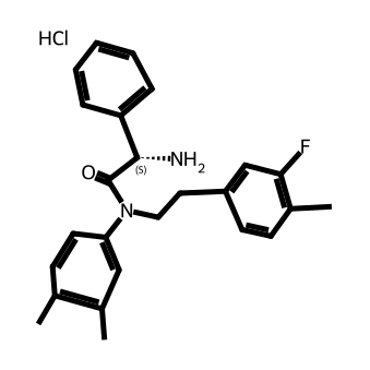 Cc1ccc(N(CCc2ccc(C)c(F)c2)C(=O)[C@@H](N)c2ccccc2)cc1C.Cl